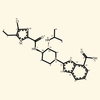 CCc1[nH]c(C(=O)N[C@@H]2CCN(c3nc4cccc(C(=O)O)c4s3)C[C@H]2NC(C)C)nc1Cl